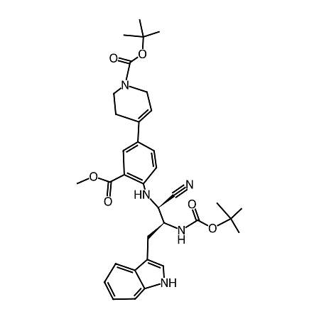 COC(=O)c1cc(C2=CCN(C(=O)OC(C)(C)C)CC2)ccc1N[C@@H](C#N)[C@H](Cc1c[nH]c2ccccc12)NC(=O)OC(C)(C)C